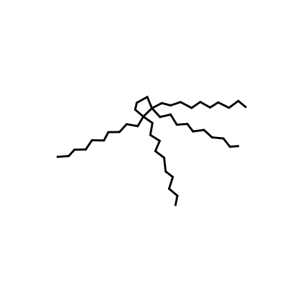 CCCCCCCCCCC1(CCCCCCCCCC)CCCC1(CCCCCCCCCC)CCCCCCCCCC